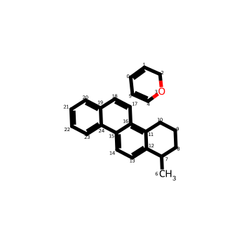 C1=CCOC=C1.CC1CCCc2c1ccc1c2ccc2ccccc21